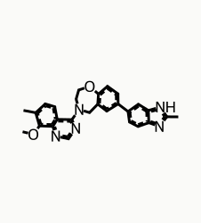 COc1c(C)ccc2c(N3CCOc4ccc(-c5ccc6nc(C)[nH]c6c5)cc4C3)ncnc12